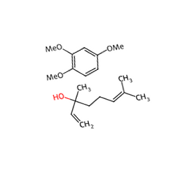 C=CC(C)(O)CCC=C(C)C.COc1ccc(OC)c(OC)c1